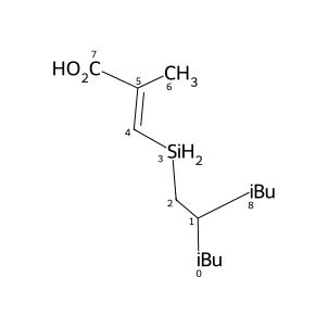 CCC(C)C(C[SiH2]C=C(C)C(=O)O)C(C)CC